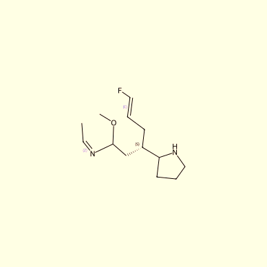 C/C=N\C(C[C@H](C/C=C/F)C1CCCN1)OC